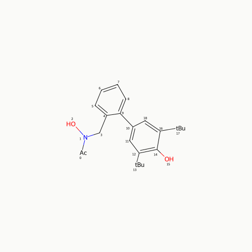 CC(=O)N(O)Cc1ccccc1-c1cc(C(C)(C)C)c(O)c(C(C)(C)C)c1